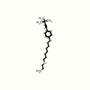 CCCSCCCCCCCCc1ccc(C#CC(C)(C)C)cc1